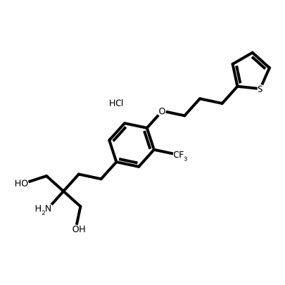 Cl.NC(CO)(CO)CCc1ccc(OCCCc2cccs2)c(C(F)(F)F)c1